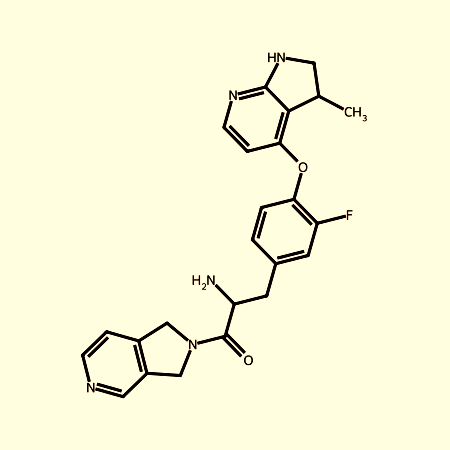 CC1CNc2nccc(Oc3ccc(CC(N)C(=O)N4Cc5ccncc5C4)cc3F)c21